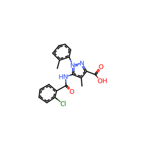 Cc1ccccc1-n1nc(C(=O)O)c(C)c1NC(=O)c1ccccc1Cl